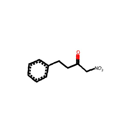 O=C(CCc1ccccc1)C[N+](=O)[O-]